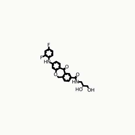 O=C(NC[C@@H](O)CO)c1ccc2c(c1)C(=O)c1ccc(Nc3ccc(F)cc3F)cc1OC2